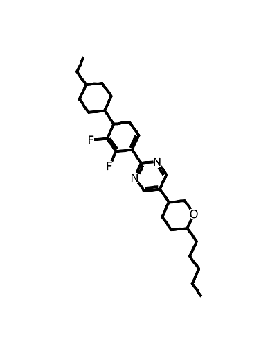 CCCCCC1CCC(c2cnc(C3=CCC(C4CCC(CC)CC4)C(F)=C3F)nc2)CO1